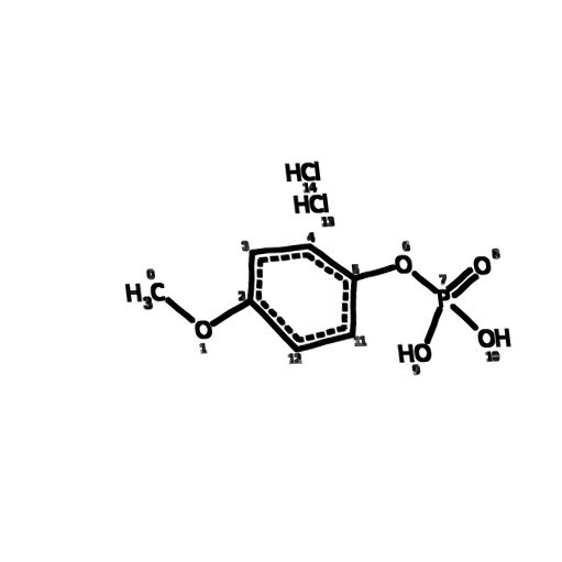 COc1ccc(OP(=O)(O)O)cc1.Cl.Cl